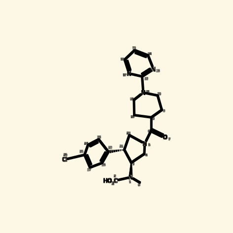 CN(C(=O)O)[C@@H]1CN(C(=O)C2CCN(c3ncccn3)CC2)C[C@H]1c1ccc(Cl)cc1